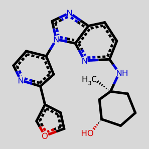 C[C@]1(Nc2ccc3ncn(-c4ccnc(-c5ccoc5)c4)c3n2)CCC[C@H](O)C1